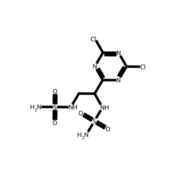 NS(=O)(=O)NCC(NS(N)(=O)=O)c1nc(Cl)nc(Cl)n1